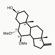 C=C1CCC2C3C(CC[C@]12C)[C@@]1(C)CC[C@H](O)CC1[C@@H](OC)[C@@H]3OC